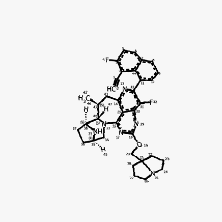 C#Cc1c(F)ccc2cccc(-c3nc4c5c(nc(OCC67CCCN6CCC7)nc5c3F)N3C[C@H]5CC[C@H](N5)[C@@H]3[C@@H](C)C4)c12